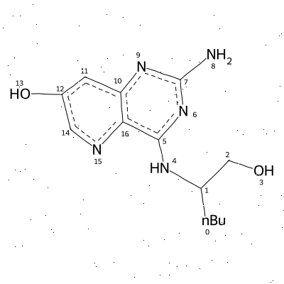 CCCCC(CO)Nc1nc(N)nc2cc(O)cnc12